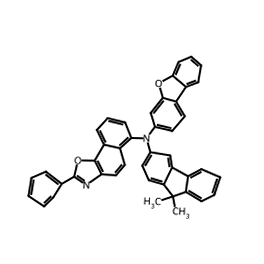 CC1(C)c2ccccc2-c2cc(N(c3ccc4c(c3)oc3ccccc34)c3cccc4c3ccc3nc(-c5ccccc5)oc34)ccc21